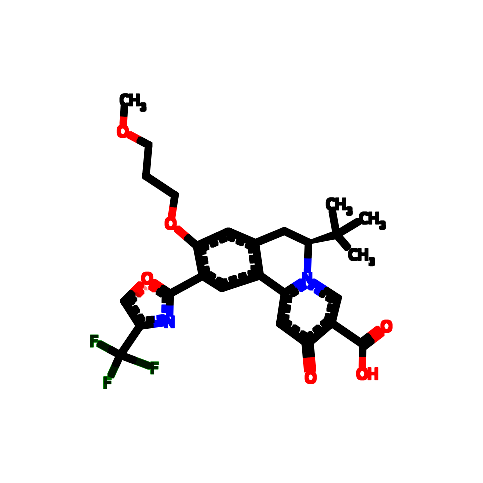 COCCCOc1cc2c(cc1-c1nc(C(F)(F)F)co1)-c1cc(=O)c(C(=O)O)cn1[C@H](C(C)(C)C)C2